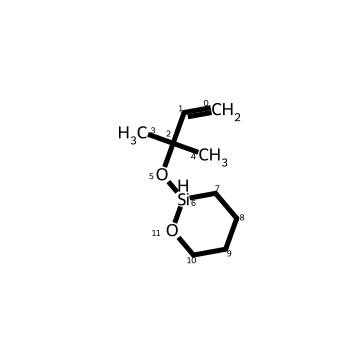 C=CC(C)(C)O[SiH]1CCCCO1